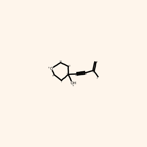 C=C(C)C#CC1(O)CCOCC1